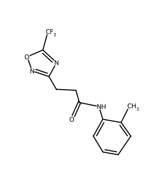 Cc1ccccc1NC(=O)CCc1noc(C(F)(F)F)n1